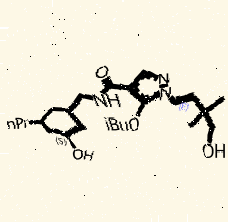 CCCC1CC(CNC(=O)c2cnn(/C=C/C(C)(C)CO)c2OCC(C)C)C[C@@H](O)C1